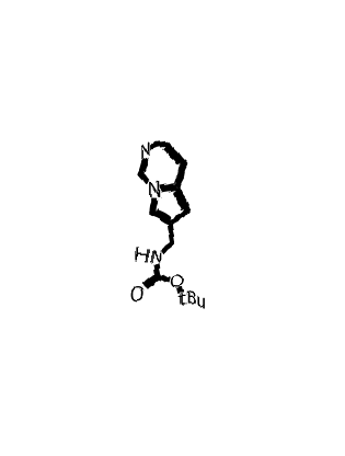 CC(C)(C)OC(=O)NCc1cc2ccncn2c1